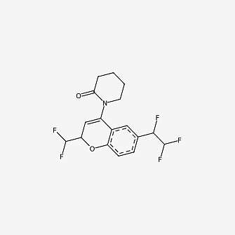 O=C1CCCCN1C1=CC(C(F)F)Oc2ccc(C(F)C(F)F)cc21